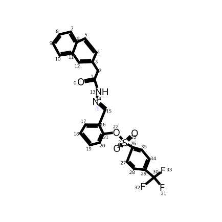 O=C(Cc1ccc2ccccc2c1)N/N=C/c1ccccc1OS(=O)(=O)c1ccc(C(F)(F)F)cc1